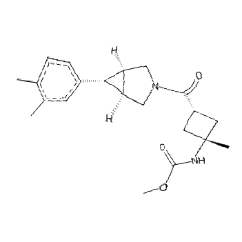 COC(=O)N[C@]1(C)C[C@H](C(=O)N2C[C@@H]3[C@H](C2)[C@H]3c2ccc(C)c(C)c2)C1